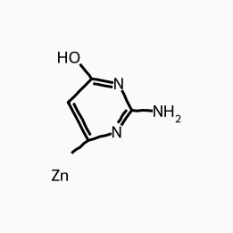 Cc1cc(O)nc(N)n1.[Zn]